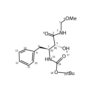 COCNC(=O)[C@H](O)[C@H](Cc1ccccc1)NC(=O)OC(C)(C)C